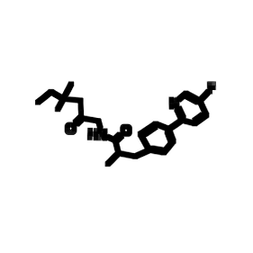 CCC(C)(C)CC(=O)CNC(=O)C(C)Cc1ccc(-c2ccc(F)cn2)cc1